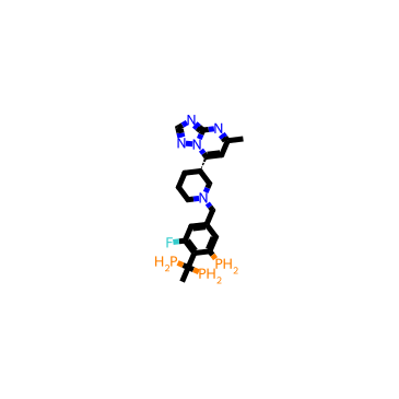 Cc1cc([C@H]2CCCN(Cc3cc(F)c(C(C)(P)P)c(P)c3)C2)n2ncnc2n1